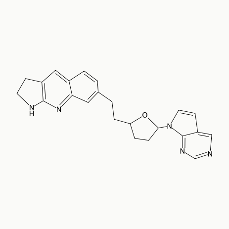 c1ncc2ccn(C3CCC(CCc4ccc5cc6c(nc5c4)NCC6)O3)c2n1